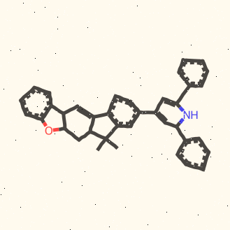 CC1(C)c2cc(C3=CC(c4ccccc4)NC(c4ccccc4)=C3)ccc2C2=CC3c4ccccc4OC3CC21